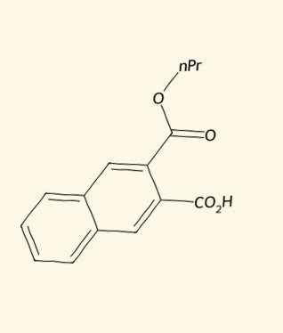 CCCOC(=O)c1cc2ccccc2cc1C(=O)O